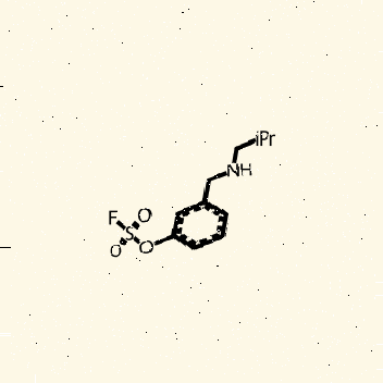 CC(C)CNCc1cccc(OS(=O)(=O)F)c1